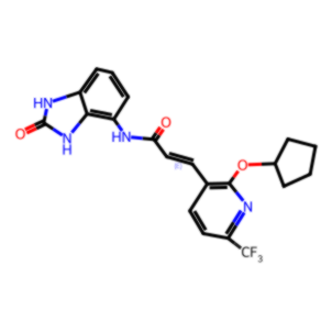 O=C(/C=C/c1ccc(C(F)(F)F)nc1OC1CCCC1)Nc1cccc2[nH]c(=O)[nH]c12